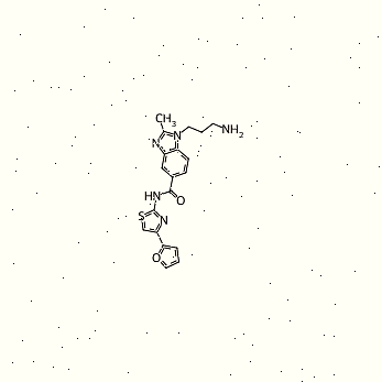 Cc1nc2cc(C(=O)Nc3nc(-c4ccco4)cs3)ccc2n1CCCN